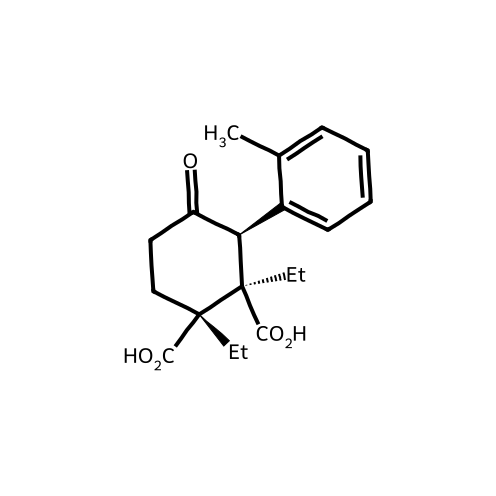 CC[C@@]1(C(=O)O)CCC(=O)[C@@H](c2ccccc2C)[C@@]1(CC)C(=O)O